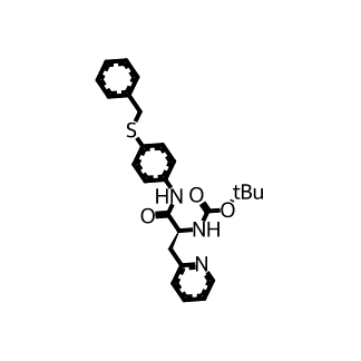 CC(C)(C)OC(=O)N[C@@H](Cc1ccccn1)C(=O)Nc1ccc(SCc2ccccc2)cc1